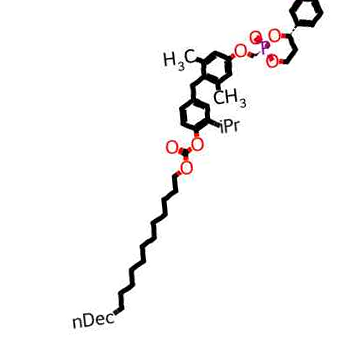 CCCCCCCCCCCCCCCCCCCCCCOC(=O)Oc1ccc(Cc2c(C)cc(OC[P@@]3(=O)OCC[C@@H](c4cccc(Cl)c4)O3)cc2C)cc1C(C)C